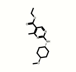 CCOC(=O)c1cnc(N[C@H]2CC[C@H](OC)CC2)nc1C